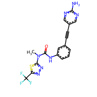 CN(C(=O)Nc1cccc(C#Cc2cnc(N)nc2)c1)c1nnc(C(F)(F)F)s1